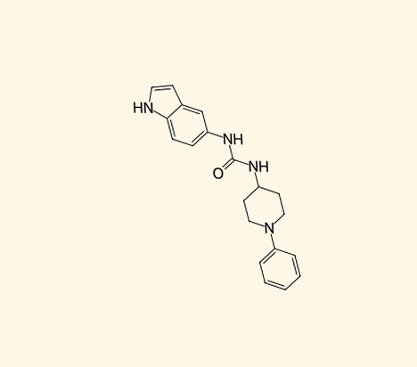 O=C(Nc1ccc2[nH]ccc2c1)NC1CCN(c2ccccc2)CC1